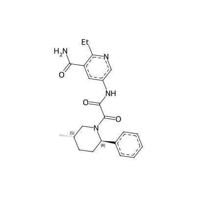 CCc1ncc(NC(=O)C(=O)N2C[C@@H](C)CC[C@@H]2c2ccccc2)cc1C(N)=O